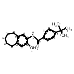 CC(C)(C)c1ccc(C(=O)Nc2cc3c(cc2O)CCCCC3)cc1